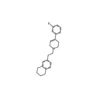 Fc1cccc(C2=CCN(CCc3ccc4c(c3)CCCC4)CC2)c1